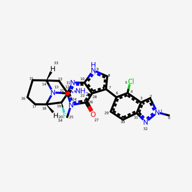 Cn1cc2c(Cl)c(-c3c[nH]c4nc(N5[C@@H]6CCC[C@H]5[C@H](F)[C@@H](N)C6)n(C)c(=O)c34)ccc2n1